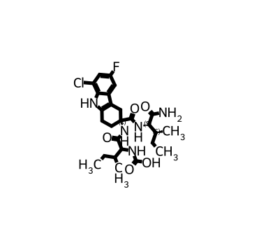 CCC(C)C(NC(=O)O)C(=O)N[C@]1(C(=O)N[C@H](C(N)=O)[C@@H](C)CC)CCc2[nH]c3c(Cl)cc(F)cc3c2C1